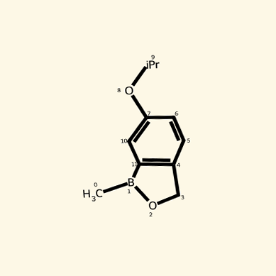 CB1OCc2ccc(OC(C)C)cc21